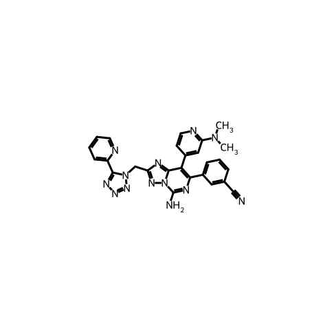 CN(C)c1cc(-c2c(-c3cccc(C#N)c3)nc(N)n3nc(Cn4nnnc4-c4ccccn4)nc23)ccn1